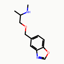 CNC(C)COCc1ccc2ocnc2c1